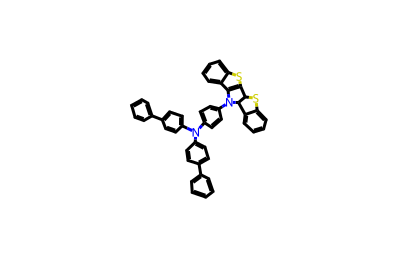 c1ccc(-c2ccc(N(c3ccc(-c4ccccc4)cc3)c3ccc(N4c5c(sc6ccccc56)C5Sc6ccccc6C54)cc3)cc2)cc1